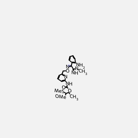 COC(SC)C(C)OC(=O)Nc1cccc(CO/N=C(\C(=N)N(C)N)c2ccccc2)n1